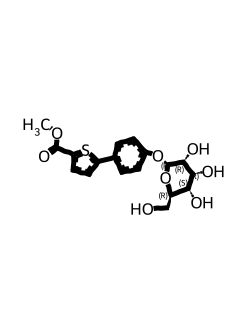 COC(=O)c1ccc(-c2ccc(O[C@H]3O[C@H](CO)[C@@H](O)[C@@H](O)[C@H]3O)cc2)s1